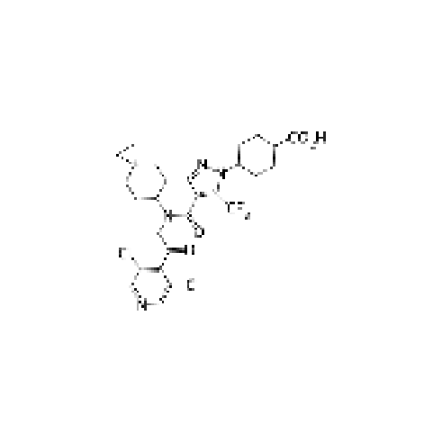 O=C(CN(C(=O)c1cnn(C2CCC(C(=O)O)CC2)c1C(F)(F)F)C1CCC2(CC1)CC2)c1c(Cl)cncc1Cl